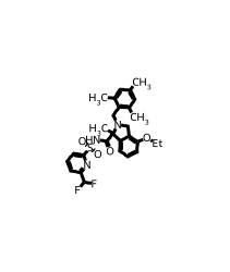 CCOc1cccc2c1CN(Cc1c(C)cc(C)cc1C)C2(C)C(=O)NS(=O)(=O)c1cccc(C(F)F)n1